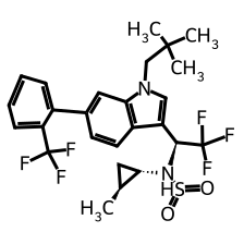 C[C@H]1C[C@@H]1N([C@@H](c1cn(CC(C)(C)C)c2cc(-c3ccccc3C(F)(F)F)ccc12)C(F)(F)F)[SH](=O)=O